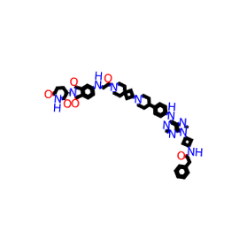 O=C1CC[C@H](N2C(=O)c3ccc(NCC(=O)N4CCC5(CC4)CC(N4CCC(c6ccc(Nc7ncnc8c7ncn8C7CC(NC(=O)Cc8ccccc8)C7)cc6)CC4)C5)cc3C2=O)C(=O)N1